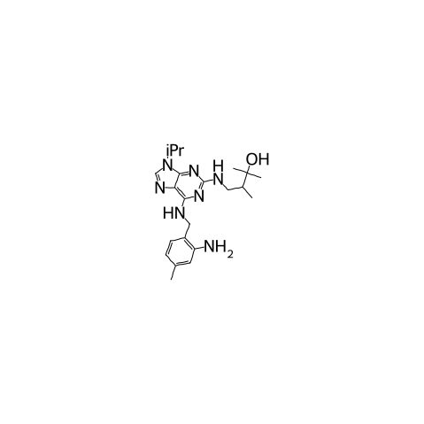 Cc1ccc(CNc2nc(NCC(C)C(C)(C)O)nc3c2ncn3C(C)C)c(N)c1